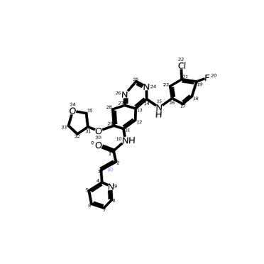 O=C(/C=C/c1ccccn1)Nc1cc2c(Nc3ccc(F)c(Cl)c3)ncnc2cc1OC1CCOC1